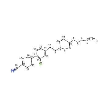 CCCCCC1CCC(CCc2ccc(C3CCC(C#N)CC3)c(F)c2)CC1